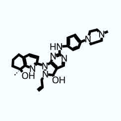 C=CCN1C(O)c2cnc(Nc3ccc(N4CCN(C)CC4)cc3)nc2N1c1ccc2c(n1)[C@@](C)(O)CCC2